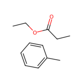 CCOC(=O)CC.Cc1ccccc1